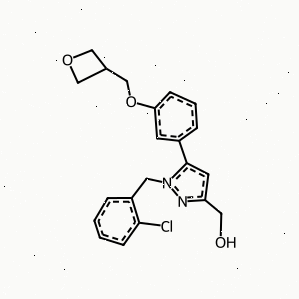 OCc1cc(-c2cccc(OCC3COC3)c2)n(Cc2ccccc2Cl)n1